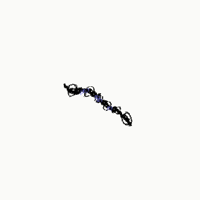 C=CC(=O)OCCCCOc1ccc(/C=C/C(=O)Oc2ccc(/C(CC)=N/N=C(\CC)c3ccc(OC(=O)/C=C/c4ccc(OC(=O)CCCC)cc4)cc3)cc2)cc1